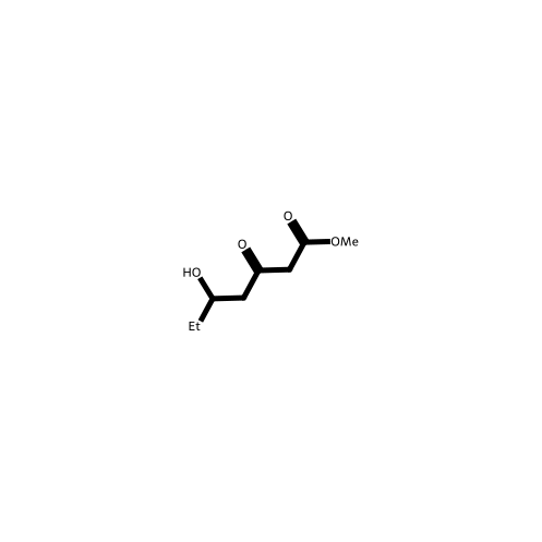 CCC(O)CC(=O)CC(=O)OC